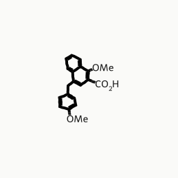 COc1ccc(Cc2cc(C(=O)O)c(OC)c3ccccc23)cc1